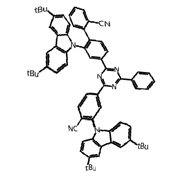 CC(C)(C)c1ccc2c(c1)c1cc(C(C)(C)C)ccc1n2-c1cc(-c2nc(-c3ccccc3)nc(-c3ccc(-c4ccccc4C#N)c(-n4c5ccc(C(C)(C)C)cc5c5cc(C(C)(C)C)ccc54)c3)n2)ccc1C#N